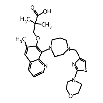 Cc1cc2cccnc2c(N2CCCN(Cc3csc(N4CCOCC4)n3)CC2)c1OCC(C)(C)C(=O)O